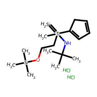 CC(C)(C)[NH][Ti]([CH3])(=[SiH2])([CH2]CO[Si](C)(C)C)[C]1=CC=CC1.Cl.Cl